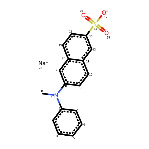 CN(c1ccccc1)c1ccc2cc(S(=O)(=O)[O-])ccc2c1.[Na+]